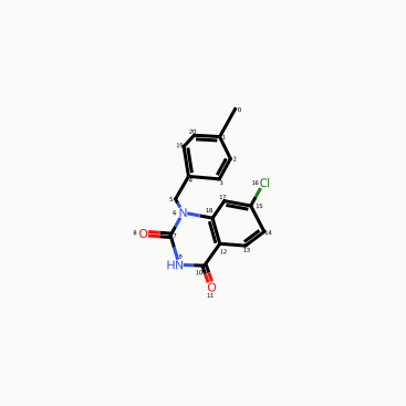 Cc1ccc(Cn2c(=O)[nH]c(=O)c3ccc(Cl)cc32)cc1